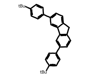 CC(C)(C)c1ccc(-c2ccc3c(c2)-c2cc(-c4ccc(C(C)(C)C)cc4)ccc2C3)cc1